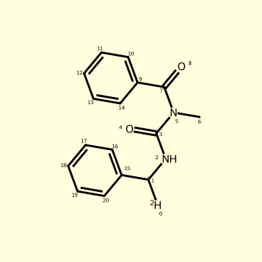 [2H][C](NC(=O)N(C)C(=O)c1ccccc1)c1ccccc1